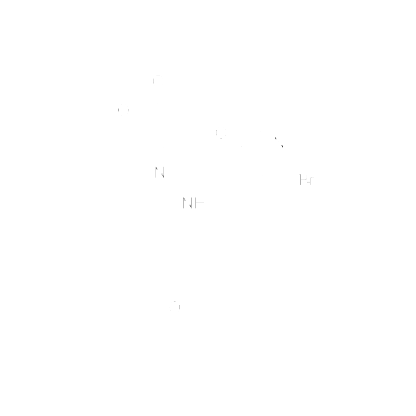 CCOc1ccc(CNc2cc(Oc3ccc(Br)nc3)c3cc(OC)c(OC)cc3n2)cc1